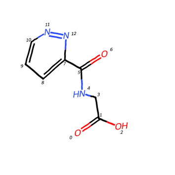 O=C(O)CNC(=O)c1cccnn1